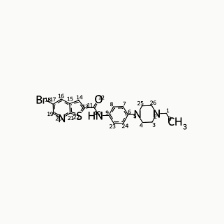 CCN1CCN(c2ccc(NC(=O)c3cc4cc(Br)cnc4s3)cc2)CC1